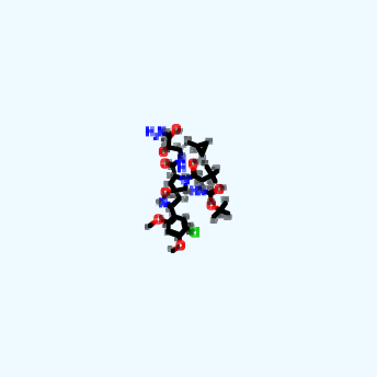 COc1cc(OC)c(C2=NO[C@]3(C2)C[C@@H](C(=O)N[C@@H](CC2CC2)C(=O)C(N)=O)N(C(=O)[C@@H](NC(=O)OC(C)(C)C)C(C)(C)C)C3)cc1Cl